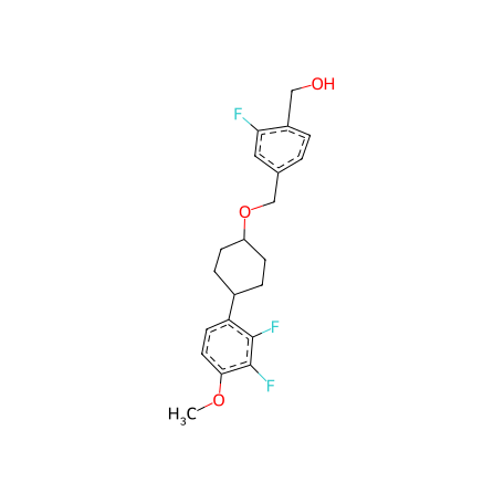 COc1ccc(C2CCC(OCc3ccc(CO)c(F)c3)CC2)c(F)c1F